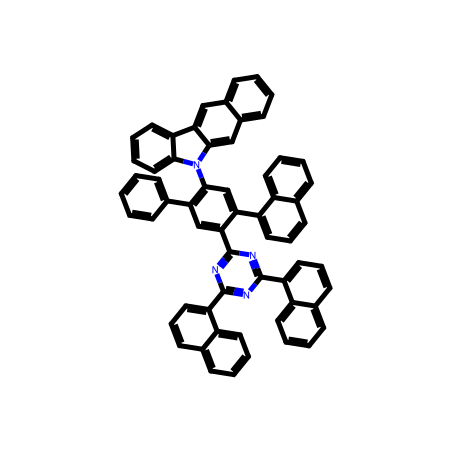 c1ccc(-c2cc(-c3nc(-c4cccc5ccccc45)nc(-c4cccc5ccccc45)n3)c(-c3cccc4ccccc34)cc2-n2c3ccccc3c3cc4ccccc4cc32)cc1